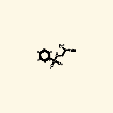 CCCCC(CC)COS(=O)(=O)c1ccccc1